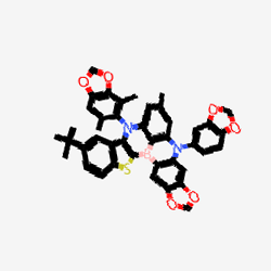 Cc1cc2c3c(c1)N(c1c(C)cc4c(c1C)OCO4)c1c(sc4ccc(C(C)(C)C)cc14)B3c1cc3c(cc1N2c1ccc2c(c1)OCO2)OCO3